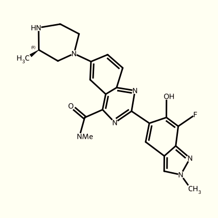 CNC(=O)c1nc(-c2cc3cn(C)nc3c(F)c2O)nc2ccc(N3CCN[C@H](C)C3)cc12